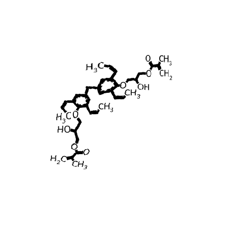 C=C(C)C(=O)OCC(O)COc1c(/C=C\C)cc(Cc2cc(/C=C\C)c(OCC(O)COC(=O)C(=C)C)c(/C=C\C)c2)cc1/C=C\C